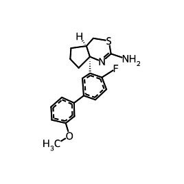 COc1cccc(-c2ccc(F)c([C@]34CCC[C@H]3CSC(N)=N4)c2)c1